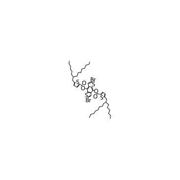 CCCCCCCCC(CCCCCC)Cc1ccc(C(=O)Oc2c3cc(Br)sc3c(OC(=O)c3ccc(CC(CCCCCC)CCCCCCCC)s3)c3cc(Br)sc23)s1